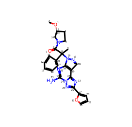 CO[C@@H]1CCN(C(=O)C(C)(c2ccccc2)n2ncc3c2nc(N)n2nc(-c4ccco4)nc32)C1